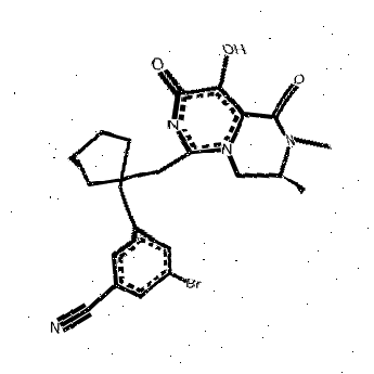 C[C@H]1Cn2c(CC3(c4cc(Br)cc(C#N)c4)CCCC3)nc(=O)c(O)c2C(=O)N1C